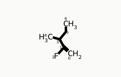 C=C(F)C(C)CC